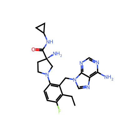 CCc1c(F)ccc(N2CC[C@](N)(C(=O)NC3CC3)C2)c1Cn1cnc2c(N)ncnc21